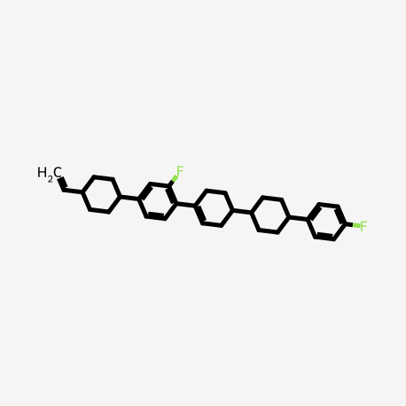 C=CC1CCC(c2ccc(C3=CCC(C4CCC(c5ccc(F)cc5)CC4)CC3)c(F)c2)CC1